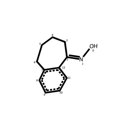 ON=C1CCCCc2ccccc21